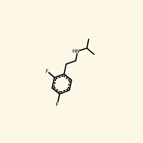 CC(C)NCCc1ccc(F)cc1F